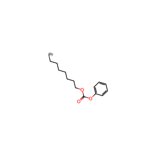 CC(C)CCCCCCCOC(=O)Oc1ccccc1